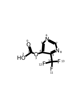 O=C(O)Oc1cncnc1C(F)(F)F